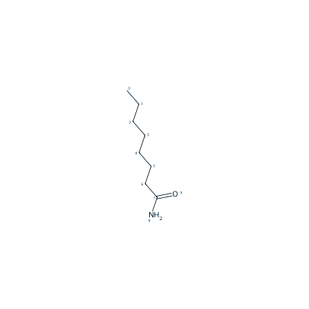 CCC[CH]CCCC(N)=O